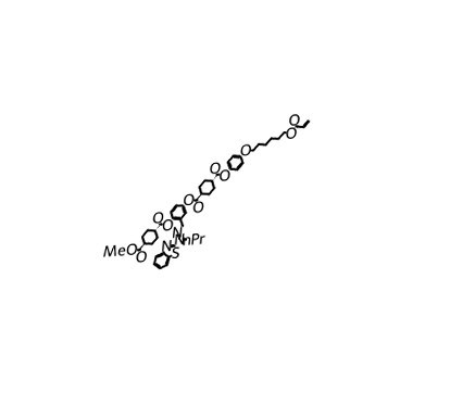 C=CC(=O)OCCCCCCOc1ccc(OC(=O)[C@H]2CC[C@H](C(=O)Oc3ccc(OC(=O)[C@H]4CC[C@H](C(=O)OC)CC4)c(/C=N/N(CCC)c4nc5ccccc5s4)c3)CC2)cc1